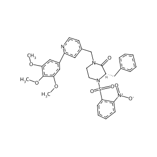 COc1cc(-c2cc(CN3CCN(S(=O)(=O)c4ccccc4[N+](=O)[O-])[C@@H](Cc4ccccc4)C3=O)ccn2)cc(OC)c1OC